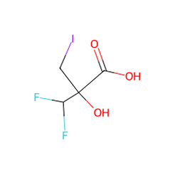 O=C(O)C(O)(CI)C(F)F